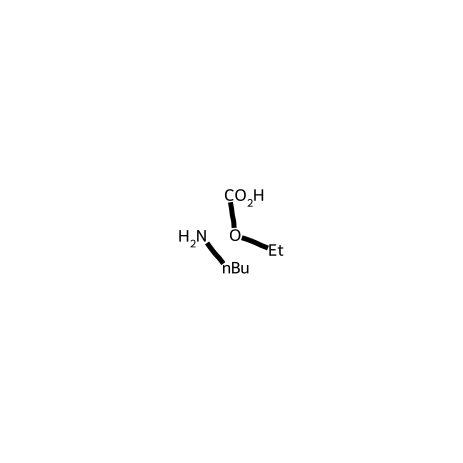 CCCCN.CCOC(=O)O